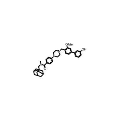 COc1cc(-c2cccc(O)c2)ccc1CN1CCN(c2ccc(C(=O)N(C)CC34CC5CC(CC(C5)C3)C4)cc2)CC1